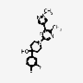 Cc1ncc(N2CCC(O)(c3ccc(F)c(F)c3)CC2)nc1-c1cnn(C)c1